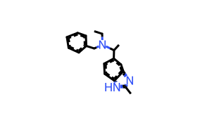 CCN(Cc1ccccc1)C(C)c1ccc2[nH]c(C)nc2c1